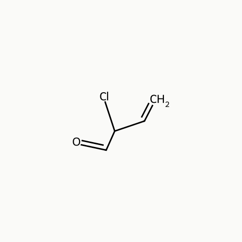 C=CC(Cl)C=O